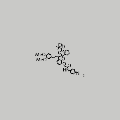 CCC(C)(C)C(=O)C(=O)N1CCCC[C@H]1C(=O)O[C@H](CCc1ccc(OC)c(OC)c1)c1cccc(OCC(=O)Nc2ccc(N)cc2)c1